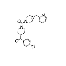 O=C(c1ccc(Cl)cc1)C1CCN(C(=O)N2CCN(Cc3ccccn3)CC2)CC1